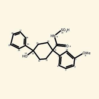 COc1cccc(C2(C(=O)NS(=O)(=O)O)CCC(O)(c3ccccc3)CC2)c1